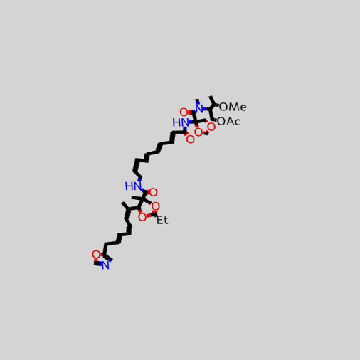 CCC(=O)OC(\C(C)=C/C=C\C=C\Cc1cnco1)C(C)(C)C(=O)NC\C=C/C=C/C=C/C=C/C(=O)NC1(C(=O)N(C)C(COC(C)=O)C(C)OC)COCO1